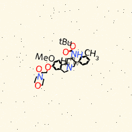 COc1cc2c(cc1OCC(=O)N1CCOCC1)CCN1C[C@@H](c3cccc(C)c3)[C@H](NC(=O)OC(C)(C)C)C[C@H]21